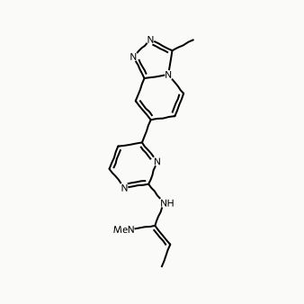 C/C=C(\NC)Nc1nccc(-c2ccn3c(C)nnc3c2)n1